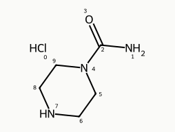 Cl.NC(=O)N1CCNCC1